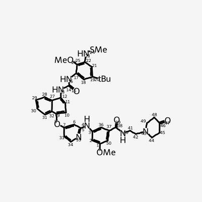 COc1cc(Nc2cc(Oc3ccc(NC(=O)Nc4cc(C(C)(C)C)cc(NSC)c4OC)c4ccccc34)ccn2)cc(C(=O)NCCN2CCC(=O)CC2)c1